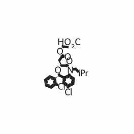 CC(C)CN1C(=O)[C@H](CC(=O)O[C@H](C)C(=O)O)O[C@@H](c2ccccc2Cl)c2cc(Cl)ccc21